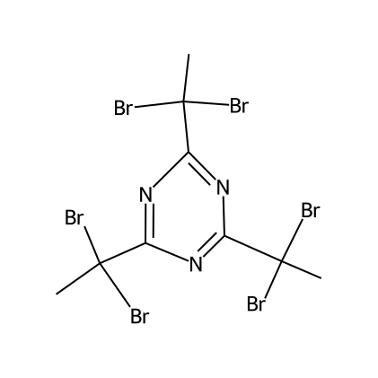 CC(Br)(Br)c1nc(C(C)(Br)Br)nc(C(C)(Br)Br)n1